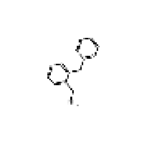 NCc1c[c]ccc1Cc1ccccn1